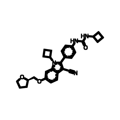 N#Cc1c(-c2ccc(NC(=O)NC3CCC3)cc2)n(C2CCC2)c2cc(OC[C@H]3CCCO3)ccc12